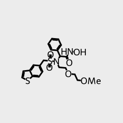 COCCOCCN(C(C(=O)NO)c1ccccc1)S(=O)(=O)Cc1ccc2sccc2c1